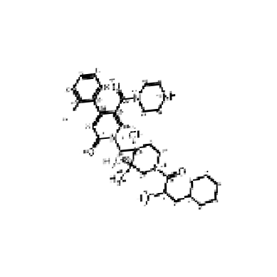 CC(CC1CCCCC1)C(=O)N1CC[C@](O)(Cn2cc(C(=O)N3CCNCC3)c(-c3ccccc3F)cc2=O)C(C)(C)C1